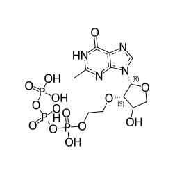 Cc1nc2c(ncn2[C@@H]2OCC(O)[C@@H]2OCCOP(=O)(O)OP(=O)(O)OP(=O)(O)O)c(=O)[nH]1